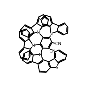 N#Cc1c(C#N)c(-n2c3ccccc3c3ccc4sc5ccccc5c4c32)c(-n2c3ccccc3c3ccccc32)c(-n2c3ccccc3c3ccccc32)c1-n1c2ccccc2c2ccccc21